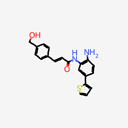 Nc1ccc(-c2cccs2)cc1NC(=O)C=Cc1ccc(CO)cc1